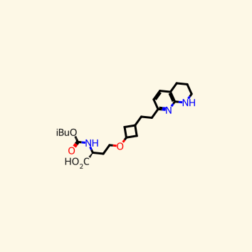 CC(C)COC(=O)N[C@@H](CCOC1CC(CCc2ccc3c(n2)NCCC3)C1)C(=O)O